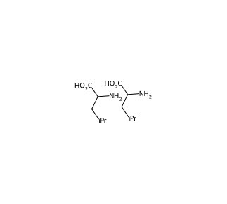 CC(C)CC(N)C(=O)O.CC(C)CC(N)C(=O)O